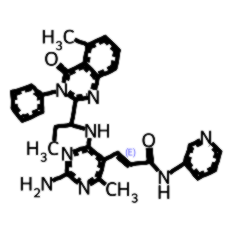 CCC(Nc1nc(N)nc(C)c1/C=C/C(=O)Nc1cccnc1)c1nc2cccc(C)c2c(=O)n1-c1ccccc1